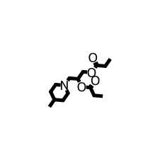 CCC(=O)OCC(CN1CCC(C)CC1)OC(=O)CC